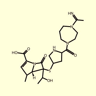 CC(=N)N1CCCN(C(=O)C2CC(SC3(C(C)O)C(=O)N4C(C(=O)O)=CC(C)[C@H]43)CN2)CC1